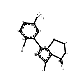 Cc1[nH]c(-c2cc([N+](=O)[O-])ccc2F)c2c1C(=O)CCC2